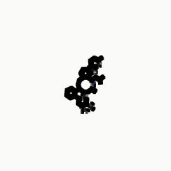 C=C1CC2C(CCc3ccc4c(oc5nc(C)ccc54)c3/C(C=C(C)C)=N\1)c1ccccc1-c1cc(C(C)C)c([Si](C)(C)C)c[n+]12